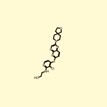 OCCNc1nccc(Sc2ccc3nc(N4CCC5(CCOC5)CC4)cnc3n2)c1Cl